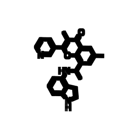 Cc1cc(C(C)Nc2cccc3[nH]ccc23)c2oc(-c3cccnc3)c(C)c(=O)c2c1